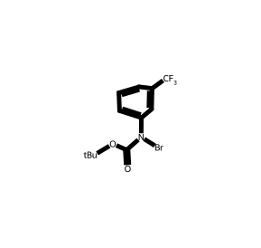 CC(C)(C)OC(=O)N(Br)c1cccc(C(F)(F)F)c1